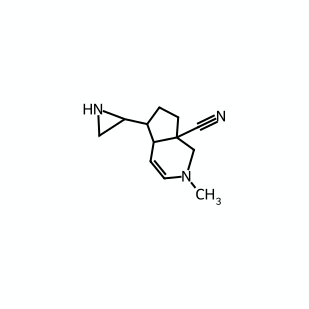 CN1C=CC2C(C3CN3)CCC2(C#N)C1